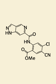 COC(=O)c1cc(C#N)c(Cl)cc1NC(=O)c1cc2[nH]ncc2cn1